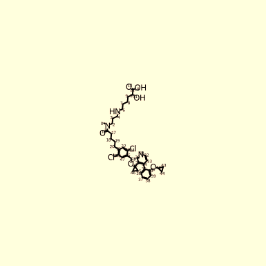 CN(CCCNCCCC[C@H](O)C(=O)O)C(=O)CCCCc1cc(Cl)c(COC2(c3cnccc3-c3ccccc3OC3CC3)CC2)cc1Cl